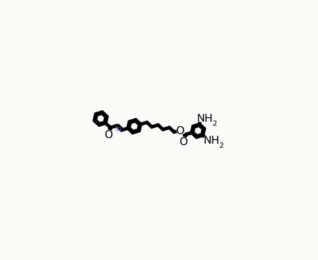 Nc1cc(N)cc(C(=O)OCCCCCCc2ccc(/C=C/C(=O)c3ccccc3)cc2)c1